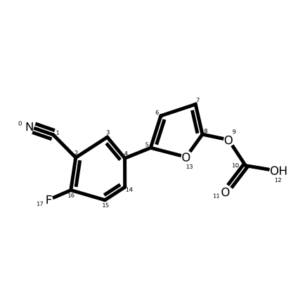 N#Cc1cc(-c2ccc(OC(=O)O)o2)ccc1F